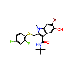 Cn1c(CSc2ccc(F)cc2F)c(C(=O)NC(C)(C)C)c2cc(O)c(Br)cc21